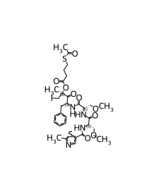 COC[C@H](NC(=O)c1cnc(C)s1)C(=O)N[C@@H](COC)C(=O)N[C@@H](Cc1ccccc1)C(=O)[C@@](C)(CI)OC(=O)CCCSC(C)=O